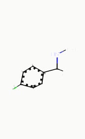 CC(C)(C)NC(C=O)c1ccc(Cl)cc1